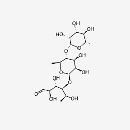 C[C@H](O)[C@H](O[C@H]1O[C@@H](C)[C@H](O[C@H]2O[C@@H](C)[C@H](O)[C@@H](O)[C@H]2O)[C@@H](O)[C@H]1O)[C@@H](O)[C@@H](O)C=O